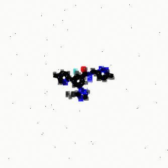 Cc1ccc(-c2cc(-n3ncnc3C(F)(F)F)cc(C(=O)NCc3ccc(C)nn3)c2F)nc1